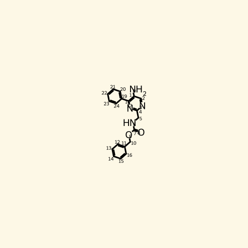 Nc1cnc(CNC(=O)OCc2ccccc2)nc1-c1ccccc1